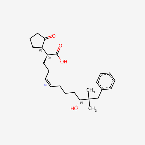 CC(C)(Cc1ccccc1)[C@H](O)CCC/C=C\CC[C@H](C(=O)O)[C@H]1CCCC1=O